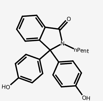 CCCCCN1C(=O)c2ccccc2C1(c1ccc(O)cc1)c1ccc(O)cc1